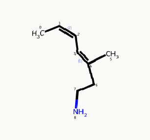 C/C=C\C=C(/C)CCN